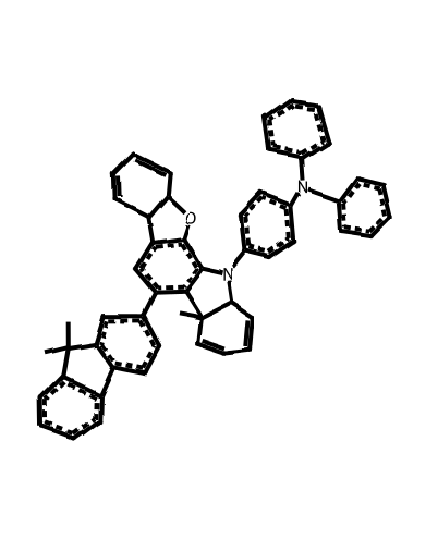 CC1(C)c2ccccc2-c2ccc(-c3cc4c(c5c3C3(C)C=CC=CC3N5c3ccc(N(c5ccccc5)c5ccccc5)cc3)OC3C=CC=CC43)cc21